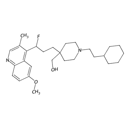 COc1ccc2ncc(C)c(C(F)CCC3(CO)CCN(CCC4CCCCC4)CC3)c2c1